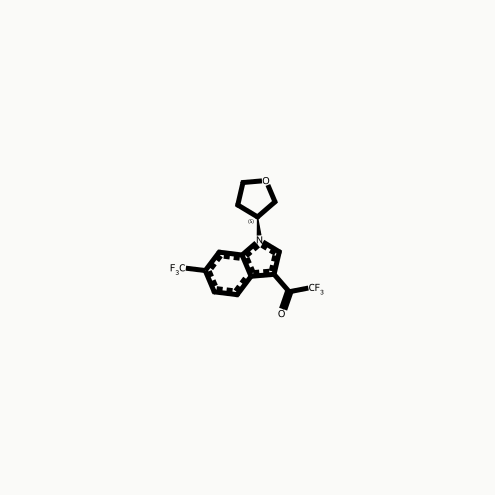 O=C(c1cn([C@H]2CCOC2)c2cc(C(F)(F)F)ccc12)C(F)(F)F